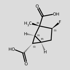 C[C@]1(C(=O)O)[C@H]2[C@@H](C[C@@H]1F)[C@@H]2C(=O)O